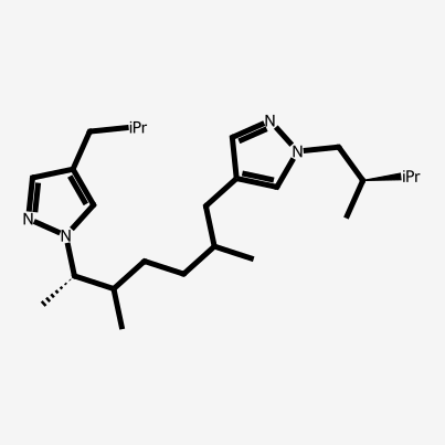 CC(C)Cc1cnn([C@@H](C)C(C)CCC(C)Cc2cnn(C[C@H](C)C(C)C)c2)c1